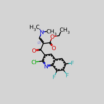 CCOC(=O)/C(=C\N(C)C)C(=O)c1cc2cc(F)c(F)c(F)c2nc1Cl